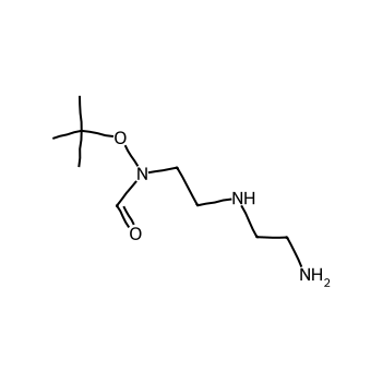 CC(C)(C)ON(C=O)CCNCCN